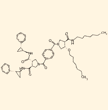 CCCCCCCNC(=O)[C@@H]1CN(C(=O)c2ccc(C(=O)N3C[C@@H](C(=O)N[C@H]4C[C@@H]4c4ccccc4)[C@H](C(=O)N[C@H]4C[C@@H]4c4ccccc4)C3)cc2)C[C@H]1OCCCCCCC